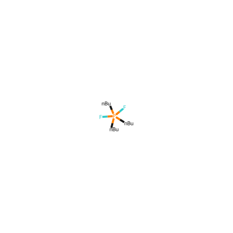 CCCCP(F)(F)(CCCC)CCCC